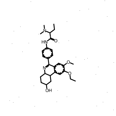 CCOc1cc2c(cc1OC)C(c1ccc(NC(=O)C(CC)N(C)C)cc1)=NC1CCC(O)CC21